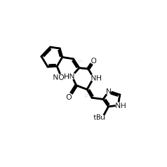 CC(C)(C)c1[nH]cnc1/C=c1\[nH]c(=O)/c(=C/c2ccccc2N=O)[nH]c1=O